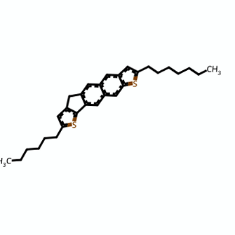 CCCCCCCc1cc2cc3cc4c(cc3cc2s1)-c1sc(CCCCCC)cc1C4